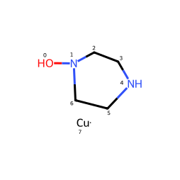 ON1CCNCC1.[Cu]